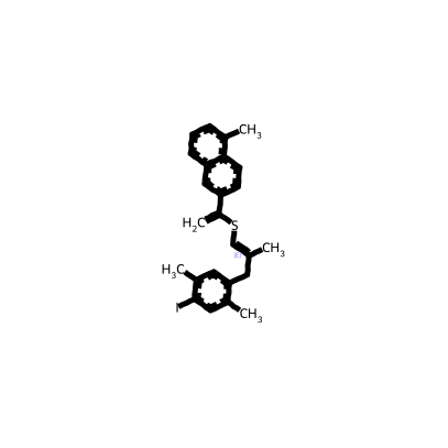 C=C(S/C=C(\C)Cc1cc(C)c(I)cc1C)c1ccc2c(C)cccc2c1